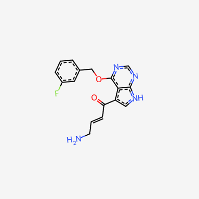 NC/C=C/C(=O)c1c[nH]c2ncnc(OCc3cccc(F)c3)c12